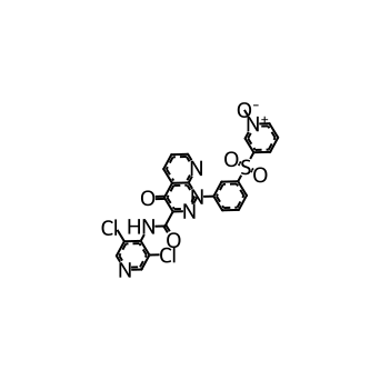 O=C(Nc1c(Cl)cncc1Cl)c1nn(-c2cccc(S(=O)(=O)c3ccc[n+]([O-])c3)c2)c2ncccc2c1=O